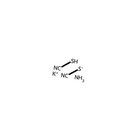 N.N#CS.N#C[S-].[K+]